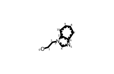 [O]CCn1cnc2ccccc21